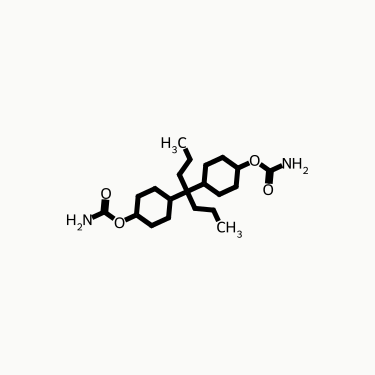 CCCC(CCC)(C1CCC(OC(N)=O)CC1)C1CCC(OC(N)=O)CC1